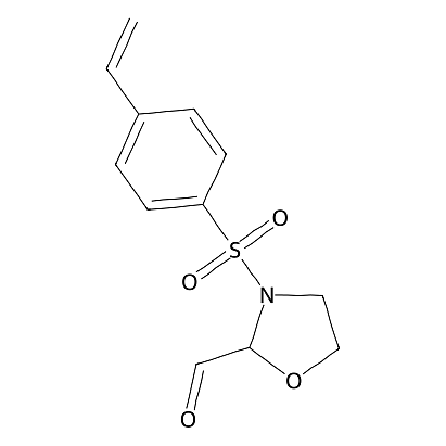 C=Cc1ccc(S(=O)(=O)N2CCOC2C=O)cc1